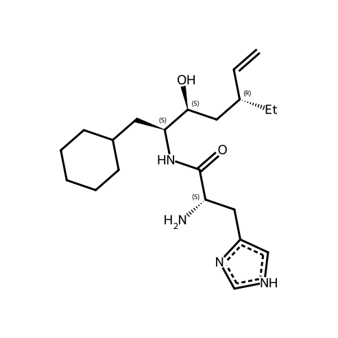 C=C[C@H](CC)C[C@H](O)[C@H](CC1CCCCC1)NC(=O)[C@@H](N)Cc1c[nH]cn1